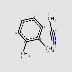 CC#N.Cc1ccccc1C